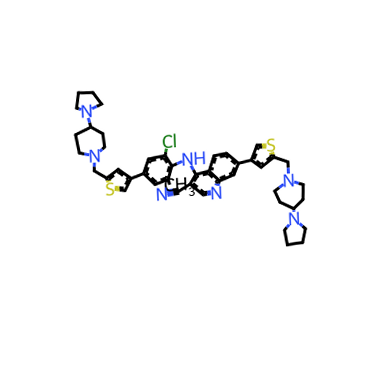 Cc1cc(-c2csc(CN3CCC(N4CCCC4)CC3)c2)cc(Cl)c1Nc1c(C#N)cnc2cc(-c3csc(CN4CCC(N5CCCC5)CC4)c3)ccc12